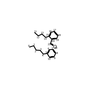 CCCCCc1ccccc1.CCCCc1ccccc1C=O